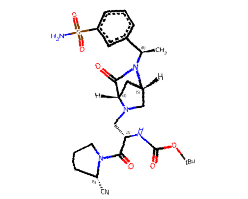 C[C@H](c1cccc(S(N)(=O)=O)c1)N1C(=O)[C@@H]2C[C@H]1CN2C[C@H](NC(=O)OC(C)(C)C)C(=O)N1CCC[C@H]1C#N